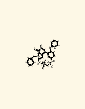 Cn1cc(-c2cc(NS(=O)(=O)CS(C)(=O)=O)ccc2Oc2ccccc2)c2cc(C(=O)O)n(Cc3ccccc3)c2c1=O